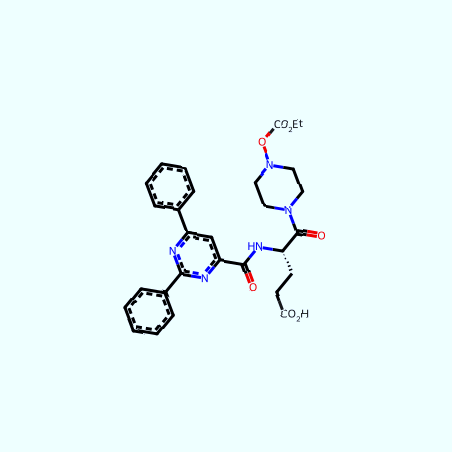 CCOC(=O)ON1CCN(C(=O)[C@H](CCC(=O)O)NC(=O)c2cc(-c3ccccc3)nc(-c3ccccc3)n2)CC1